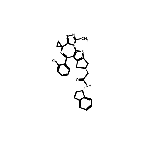 Cc1nnc2n1-c1sc3c(c1C(c1ccccc1Cl)=NC21CC1)C[C@H](CC(=O)N[C@H]1CCc2ccccc21)C3